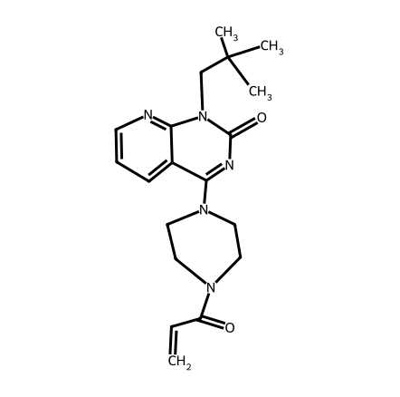 C=CC(=O)N1CCN(c2nc(=O)n(CC(C)(C)C)c3ncccc23)CC1